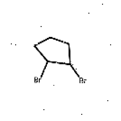 Br[C]1CCCC1Br